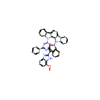 COc1cccc2nc(-c3ccc(-n4c5ccccc5c5ccc6c7ccccc7n(-c7nc(-c8ccccc8)nc(-c8ccccc8)n7)c6c54)cc3)[nH]c12